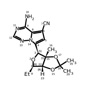 CC[C@H]1O[C@@H](c2cc(C#N)c3c(N)ncnn23)[C@]2(C)OC(C)(C)O[C@H]12